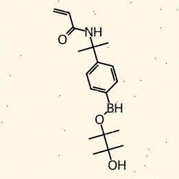 C=CC(=O)NC(C)(C)c1ccc(BOC(C)(C)C(C)(C)O)cc1